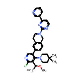 CC1(C)CCN(c2c(-c3ccc4c(c3)CCN(c3nccc(-c5cccnc5)n3)C4)cnc(Cl)c2C(OC(C)(C)C)C(=O)O)CC1